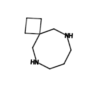 C1CNCC2(CCC2)CNC1